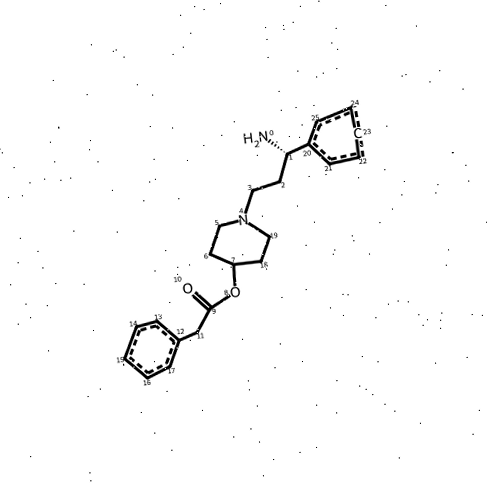 N[C@@H](CCN1CCC(OC(=O)Cc2ccccc2)CC1)c1ccccc1